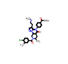 C=NCCc1cnn2c3c(c(=O)n(-c4ccc(C(=O)NC)cc4)c12)CC(C)N(C(=O)c1ccc(Br)c(C(F)(F)F)c1)C3